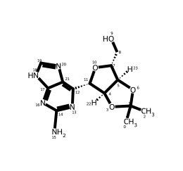 CC1(C)O[C@@H]2[C@H](O1)[C@@H](CO)O[C@H]2c1nc(N)nc2[nH]cnc12